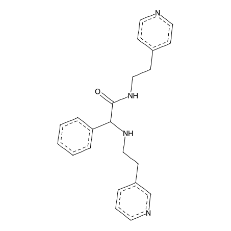 O=C(NCCc1ccncc1)C(NCCc1cccnc1)c1ccccc1